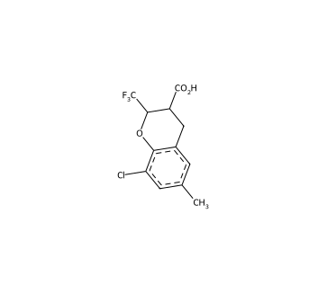 Cc1cc(Cl)c2c(c1)CC(C(=O)O)C(C(F)(F)F)O2